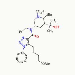 COCCCCc1c(C(=O)N(CC(C)C)[C@H]2C[C@@H](C(C)(C)O)C(C(C)(C)C)N(C(=O)O)C2)nnn1-c1ccccc1